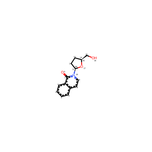 O=c1c2ccccc2ccn1[C@H]1CC[C@@H](CO)O1